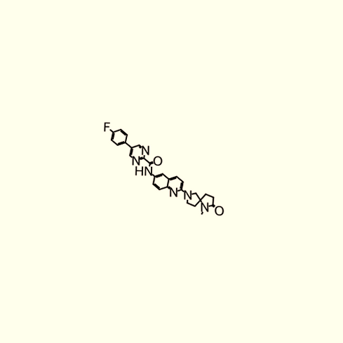 CN1C(=O)CCC12CCN(c1ccc3cc(NC(=O)c4ncc(-c5ccc(F)cc5)cn4)ccc3n1)C2